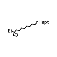 CCCCCCCCCCCCCCCC1(CC)CO1